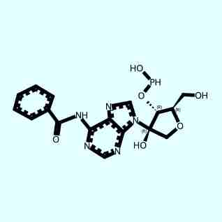 O=C(Nc1ncnc2c1ncn2[C@@]1(O)CO[C@H](CO)[C@H]1OPO)c1ccccc1